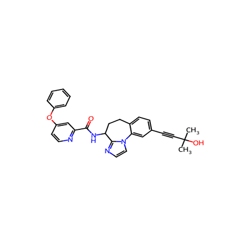 CC(C)(O)C#Cc1ccc2c(c1)-n1ccnc1C(NC(=O)c1cc(Oc3ccccc3)ccn1)CC2